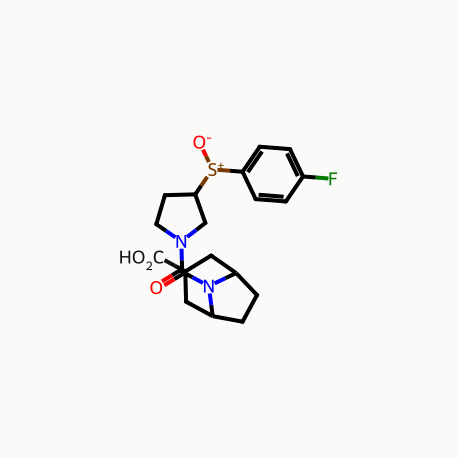 O=C(O)C1CC2CCC(C1)N2C(=O)N1CCC([S+]([O-])c2ccc(F)cc2)C1